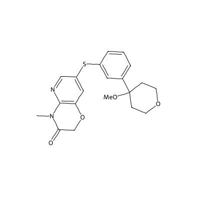 COC1(c2cccc(Sc3cnc4c(c3)OCC(=O)N4C)c2)CCOCC1